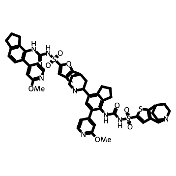 COc1cc(-c2ccc3c(c2NC(=O)NS(=O)(=O)c2cc4c(o2)C2CCN(C4)C(c4cc(-c5ccnc(OC)c5)c(NC(=O)NS(=O)(=O)c5cc6c(s5)C5CCN(CC5)C6)c5c4CCC5)C2)CCC3)ccn1